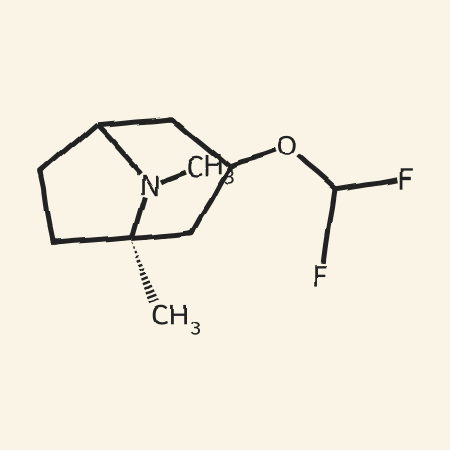 CN1C2CC[C@]1(C)CC(OC(F)F)C2